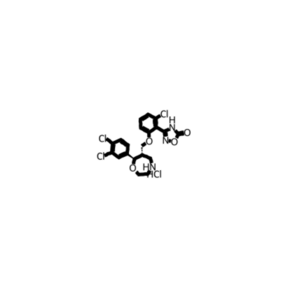 Cl.O=c1[nH]c(-c2c(Cl)cccc2OC[C@@H]2CNCCO[C@H]2c2ccc(Cl)c(Cl)c2)no1